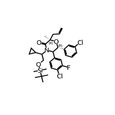 C=CC[C@@]1(C)O[C@H](c2cccc(Cl)c2)C(c2ccc(Cl)c(F)c2)N(C(CO[Si](C)(C)C(C)(C)C)C2CC2)C1=O